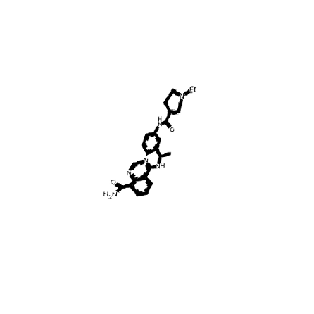 CCN1CCC(C(=O)Nc2cccc(C(C)Nc3ncnc4c(C(N)=O)cccc34)c2)C1